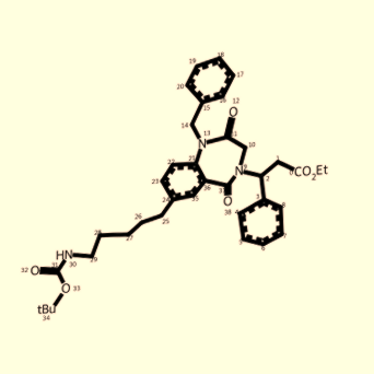 CCOC(=O)CC(c1ccccc1)N1CC(=O)N(Cc2ccccc2)c2ccc(CCCCCNC(=O)OC(C)(C)C)cc2C1=O